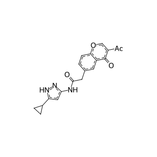 CC(=O)c1coc2ccc(CC(=O)Nc3cc(C4CC4)[nH]n3)cc2c1=O